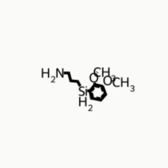 COc1cccc([SiH2]CCCN)c1OC